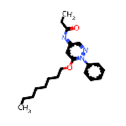 CCCCCCCCOc1c/c(=N/C(=O)CC)cnn1-c1ccccc1